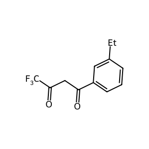 CCc1cccc(C(=O)CC(=O)C(F)(F)F)c1